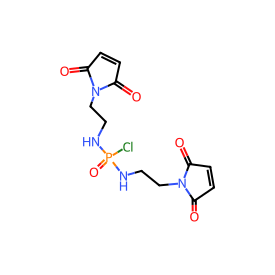 O=C1C=CC(=O)N1CCNP(=O)(Cl)NCCN1C(=O)C=CC1=O